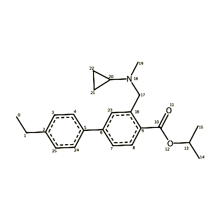 CCc1ccc(-c2ccc(C(=O)OC(C)C)c(CN(C)C3CC3)c2)cc1